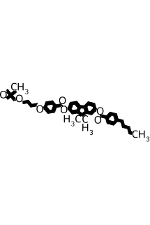 CCCCCc1ccc(C(=O)Oc2ccc3c(c2)C(C)(C)c2cc(OC(=O)c4ccc(OCCCCOCC5(CC)COC5)cc4)ccc2-3)cc1